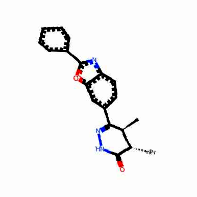 CCC[C@@H]1C(=O)NN=C(c2ccc3nc(-c4ccccc4)oc3c2)[C@H]1C